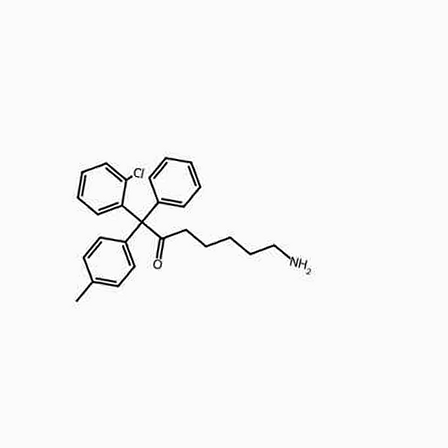 Cc1ccc(C(C(=O)CCCCCN)(c2ccccc2)c2ccccc2Cl)cc1